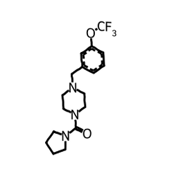 O=C(N1CCCC1)N1CCN(Cc2cccc(OC(F)(F)F)c2)CC1